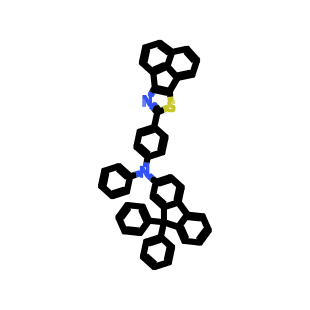 c1ccc(N(c2ccc(-c3nc4c(s3)-c3cccc5cccc-4c35)cc2)c2ccc3c(c2)C(c2ccccc2)(c2ccccc2)c2ccccc2-3)cc1